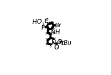 CC(C)(C)OC(=O)N1CCC=C(c2cc3c(F)c(C(=O)O)cc(Br)c3[nH]2)C1